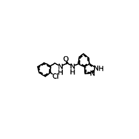 O=C(NCc1ccccc1Cl)Nc1cccc2[nH]ncc12